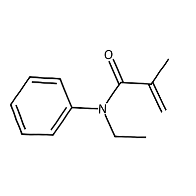 C=C(C)C(=O)N(CC)c1ccccc1